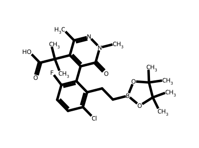 Cc1nn(C)c(=O)c(-c2c(F)ccc(Cl)c2CCB2OC(C)(C)C(C)(C)O2)c1C(C)(C)C(=O)O